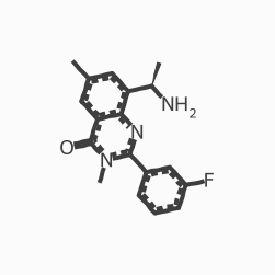 Cc1cc([C@@H](C)N)c2nc(-c3cccc(F)c3)n(C)c(=O)c2c1